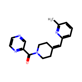 Cc1cccc(C=C2CCN(C(=O)c3cnccn3)CC2)n1